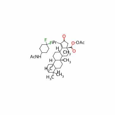 CC(=O)NC1CCC(F)(F)CC1.CC(=O)OOC(=O)[C@@]12CC[C@]3(C)[C@H](CC[C@@H]4[C@@]5(C)CCCC(C)(C)[C@@H]5CC[C@]43C)C1=C(C(C)C)C(=O)C2